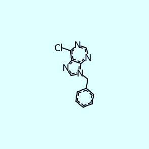 Clc1ncnc2c1ncn2Cc1ccccc1